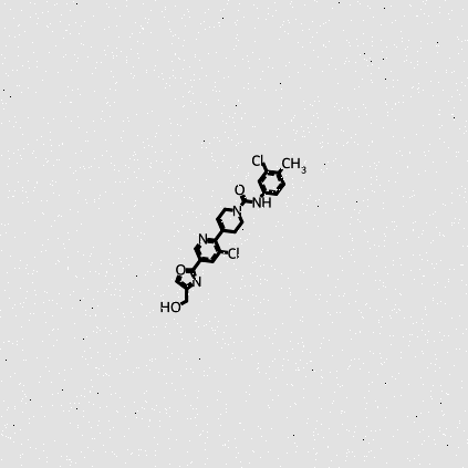 Cc1ccc(NC(=O)N2CC=C(c3ncc(-c4nc(CO)co4)cc3Cl)CC2)cc1Cl